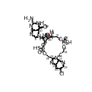 Nc1nc2ncn([C@@H]3O[C@@H]4COP(=O)(S)OCCn5c(nc6cc(Cl)cnc65)COP(=O)(S)O[C@@H]3[C@@H]4F)c2c(=O)[nH]1